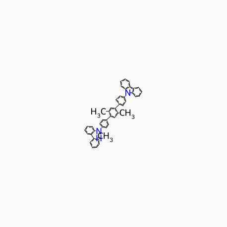 Cc1cc(-c2ccc(-n3c4ccccc4c4ccccc43)cc2)c(C)cc1-c1ccc(Nc2ccccc2-c2ccccc2C)cc1